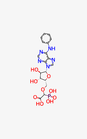 O=C(O)C(OC[C@H]1O[C@@H](n2cnc3c(Nc4ccccc4)ncnc32)[C@H](O)[C@H]1O)P(=O)(O)O